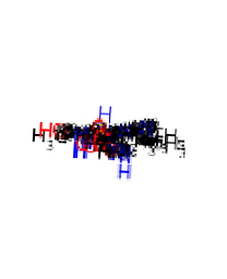 CC(C)c1ccccc1[C@@H]1CCCCN1[C@H]1C[C@@]2(CCN(c3ccc(C(=O)NS(=O)(=O)c4ccc(NC[C@H]5CC[C@](C)(O)CC5)c([N+](=O)[O-])c4)c(N4c5cc6cc[nH]c6nc5O[C@H]5COCC[C@@H]54)c3)[C@H](C)C2)[C@@H]1C